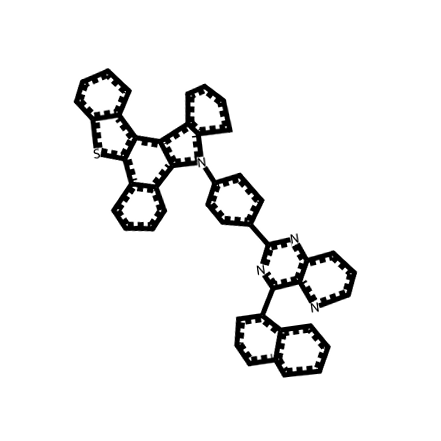 c1ccc2c(-c3nc(-c4ccc(-n5c6ccccc6c6c7c8ccccc8sc7c7ccccc7c65)cc4)nc4cccnc34)cccc2c1